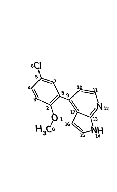 COc1ccc(Cl)cc1-c1ccnc2[nH]ccc12